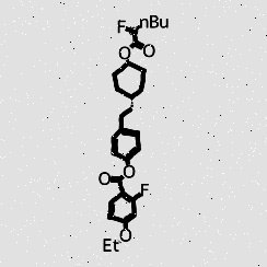 CCCC[C@H](F)C(=O)O[C@H]1CC[C@H](CCc2ccc(OC(=O)c3ccc(OCC)cc3F)cc2)CC1